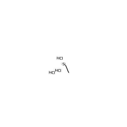 C[Si].Cl.Cl.Cl